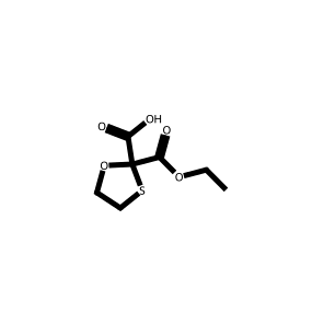 CCOC(=O)C1(C(=O)O)OCCS1